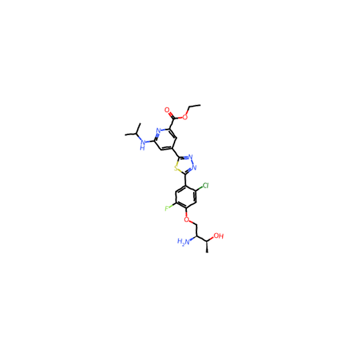 CCOC(=O)c1cc(-c2nnc(-c3cc(F)c(OC[C@H](N)[C@H](C)O)cc3Cl)s2)cc(NC(C)C)n1